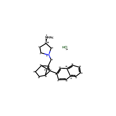 CC(=O)N[C@@H]1CCN(CC2=C(c3ccc4ccccc4c3)C3CCC2C3)C1.Cl